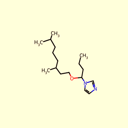 CCCC(OCCC(C)CCCC(C)C)n1ccnc1